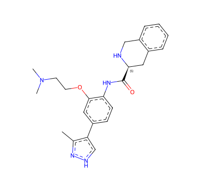 Cc1n[nH]cc1-c1ccc(NC(=O)[C@@H]2Cc3ccccc3CN2)c(OCCN(C)C)c1